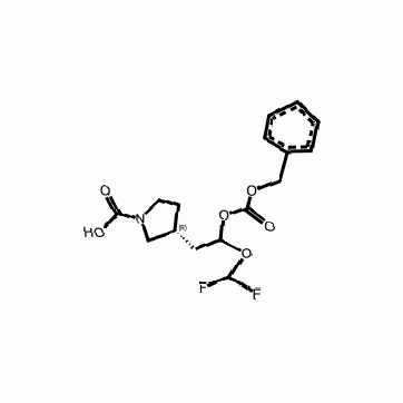 O=C(OCc1ccccc1)OC(C[C@H]1CCN(C(=O)O)C1)OC(F)F